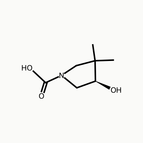 CC1(C)CN(C(=O)O)C[C@@H]1O